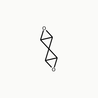 O1C2C1C21C2OC21